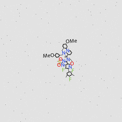 COc1ccc(CN(Cc2ccc(OC)cc2)c2ncccc2[C@@H](C)N2CCOc3nc(-c4cc(C)c(F)c(C)c4F)c(F)c4nc(S(C)(=O)=O)nc2c34)cc1